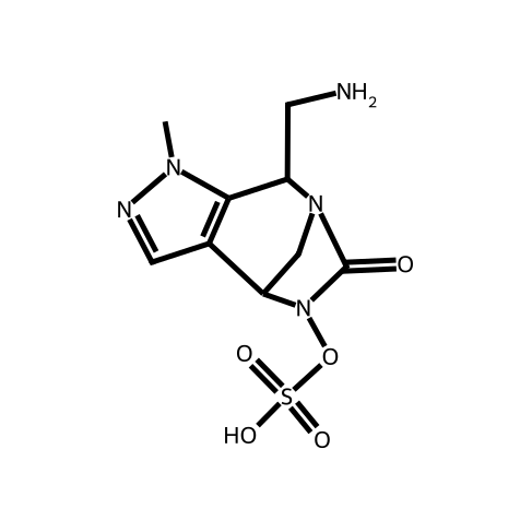 Cn1ncc2c1C(CN)N1CC2N(OS(=O)(=O)O)C1=O